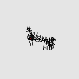 Cc1ncsc1-c1ccc(CCNC(=O)[C@@H]2C[C@@H](O)CN2C(=O)C(C)(C)[C@H](C)NC(=O)COCCOCCOC[C@H]2CN[C@H](COc3nc4c(c(N5CCN(C(=O)O)[C@@H](CC#N)C5)n3)CCN(c3cccc5ccccc35)C4)C2)cc1